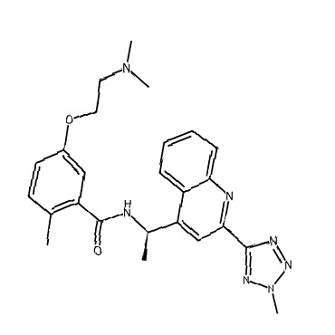 Cc1ccc(OCCN(C)C)cc1C(=O)N[C@H](C)c1cc(-c2nnn(C)n2)nc2ccccc12